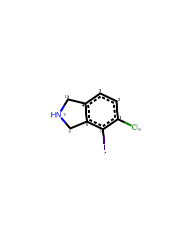 Clc1ccc2c(c1I)CNC2